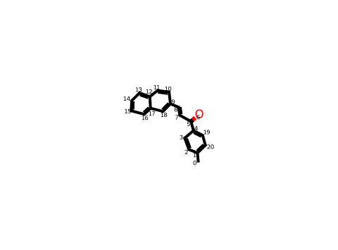 Cc1ccc(C(=O)C=Cc2ccc3ccccc3c2)cc1